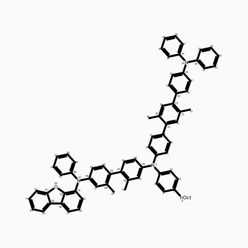 CCCCCCCCc1ccc(N(c2ccc(-c3cc(C)c(-c4ccc(N(c5ccccc5)c5ccccc5)cc4)cc3C)cc2)c2ccc(-c3ccc(N(c4ccccc4)c4cccc5c4oc4ccccc45)cc3C)c(C)c2)cc1